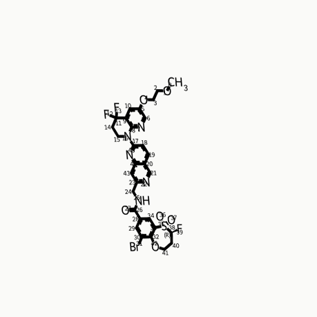 COCCOc1cnc2c(c1)C(F)(F)CCN2c1ccc2cnc(CNC(=O)c3cc(Br)c4c(c3)S(=O)(=O)[C@@H](F)CCO4)cc2n1